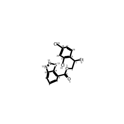 CCC(COC(=O)c1cccc2nnsc12)c1ccc(Cl)cc1Cl